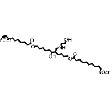 CCCCCCCC/C=C\CCCCCCCC(=O)OCCCCCC(O)C(CCCCOC(=O)CCCCCCC/C=C\CCCCCCCC)CNCCO